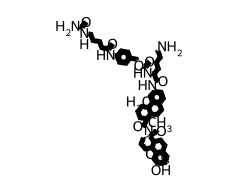 C[C@]1(C(=O)N2C(=O)[C@]23CCC[C@]2(C)c4cc(O)ccc4CCC32)CCC[C@]2(C)c3cc(NC(=O)C(CCCCN)NC(=O)OCc4ccc(NC(=O)CCCCNC(N)=O)cc4)ccc3CCC12